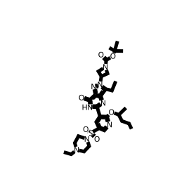 CCCC(C)Oc1ncc(S(=O)(=O)N2CCN(CC)CC2)cc1-c1nc2c(CC)n(C3CN(C(=O)OC(C)(C)C)C3)nc2c(=O)[nH]1